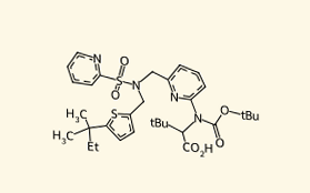 CCC(C)(C)c1ccc(CN(Cc2cccc(N(C(=O)OC(C)(C)C)C(C(=O)O)C(C)(C)C)n2)S(=O)(=O)c2ccccn2)s1